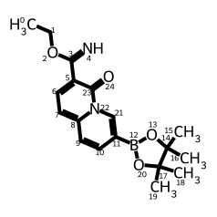 CCOC(=N)c1ccc2ccc(B3OC(C)(C)C(C)(C)O3)cn2c1=O